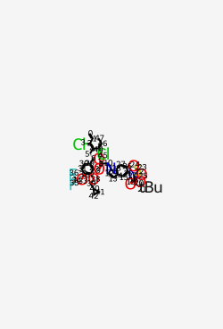 C=C/C(Cl)=C(C[C@H](OC(=O)Cn1ccc2cc(N(C(=O)OC(C)(C)C)S(C)(=O)=O)ccc21)c1ccc(OC(F)F)c(OCC2CC2)c1)\C(Cl)=C/C